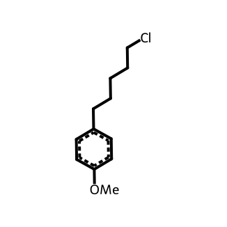 COc1ccc(CCCCCCl)cc1